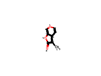 Cc1c2ccocc-2oc1=O